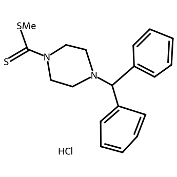 CSC(=S)N1CCN(C(c2ccccc2)c2ccccc2)CC1.Cl